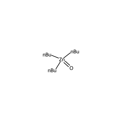 CCC[CH2][Zn](=[O])([CH2]CCC)[CH2]CCC